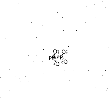 O=P[O-].O=P[O-].[Pt+2]